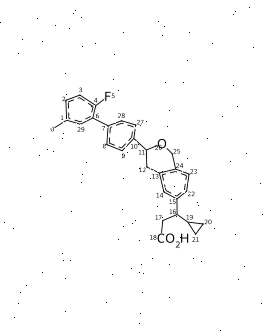 Cc1ccc(F)c(-c2ccc(C3Cc4cc(C(CC(=O)O)C5CC5)ccc4CO3)cc2)c1